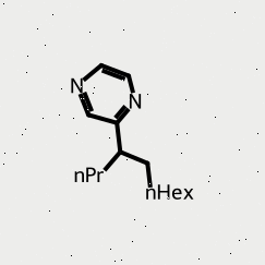 CCCCCCCC(CCC)c1cnccn1